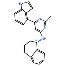 Cc1nc(N[C@@H]2CCCc3ccccc32)cc(-c2cccc3[nH]ccc23)n1